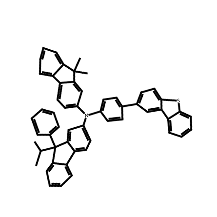 CC(C)C1(c2ccccc2)c2ccccc2-c2ccc(N(c3ccc(-c4ccc5sc6ccccc6c5c4)cc3)c3ccc4c(c3)C(C)(C)c3ccccc3-4)cc21